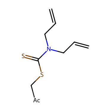 C=CCN(CC=C)C(=S)SCC(C)=O